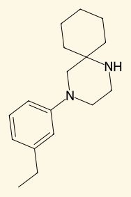 CCc1cccc(N2CCNC3(CCCCC3)C2)c1